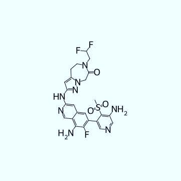 CS(=O)(=O)c1c(N)cncc1-c1cc2cc(Nc3cc4n(n3)CC(=O)N(CC(F)F)CC4)ncc2c(N)c1F